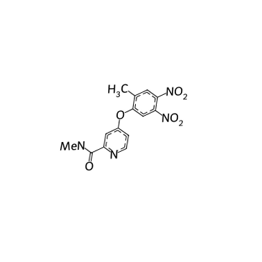 CNC(=O)c1cc(Oc2cc([N+](=O)[O-])c([N+](=O)[O-])cc2C)ccn1